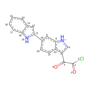 O=C(Cl)C(=O)c1c[nH]c2cc(-c3cc4ccccc4[nH]3)ccc12